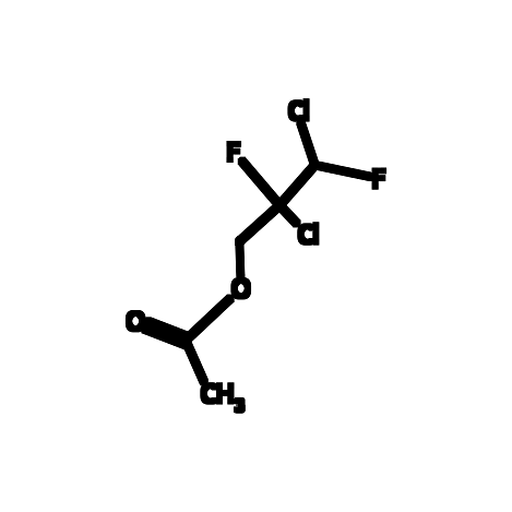 CC(=O)OCC(F)(Cl)C(F)Cl